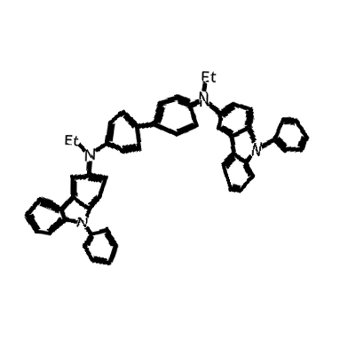 CCN(c1ccc(-c2ccc(N(CC)c3ccc4c(c3)c3ccccc3n4-c3ccccc3)cc2)cc1)c1ccc2c(c1)c1ccccc1n2-c1ccccc1